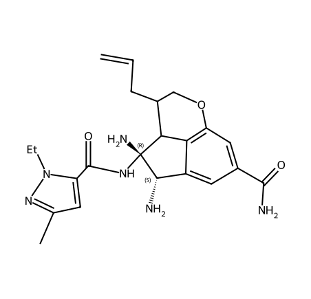 C=CCC1COc2cc(C(N)=O)cc3c2C1[C@@](N)(NC(=O)c1cc(C)nn1CC)[C@H]3N